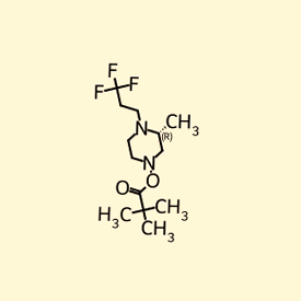 C[C@@H]1CN(OC(=O)C(C)(C)C)CCN1CCC(F)(F)F